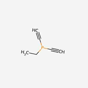 C#CP(C#C)CC